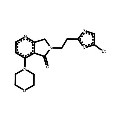 CCc1csc(CCN2Cc3nccc(N4CCOCC4)c3C2=O)n1